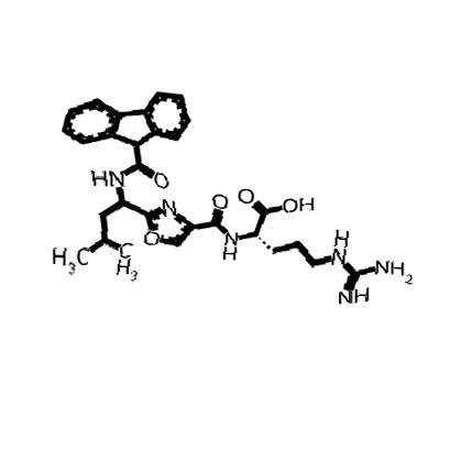 CC(C)CC(NC(=O)C1c2ccccc2-c2ccccc21)c1nc(C(=O)N[C@@H](CCCNC(=N)N)C(=O)O)co1